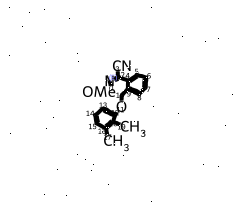 CO/N=C(/C#N)c1ccccc1COc1cccc(C)c1C